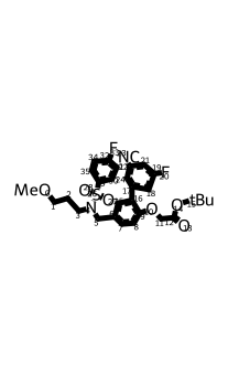 COCCCN(Cc1ccc(OCC(=O)OC(C)(C)C)c(-c2cc(F)cc(C#N)c2)c1)S(=O)(=O)c1ccc(F)cc1